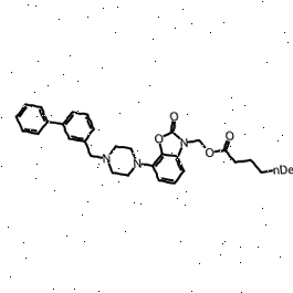 CCCCCCCCCCCCCC(=O)OCn1c(=O)oc2c(N3CCN(Cc4cccc(-c5ccccc5)c4)CC3)cccc21